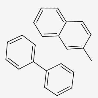 Cc1ccc2ccccc2c1.c1ccc(-c2ccccc2)cc1